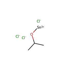 CC(C)[O][Sn+3].[Cl-].[Cl-].[Cl-]